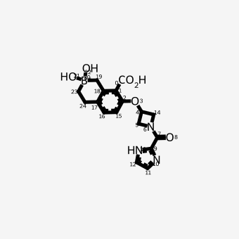 O=C(O)c1c(OC2CN(C(=O)c3ncc[nH]3)C2)ccc2c1C[B-](O)(O)CC2